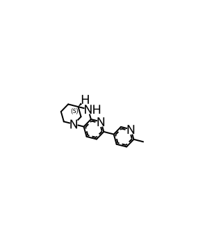 Cc1ccc(-c2ccc3c(n2)N[C@H]2CCCN3C2)cn1